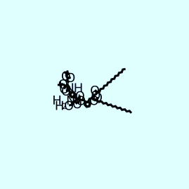 CCCCCCCCCCCCCCCC(=O)OCC(Cc1ccccc1COC(=O)N(C(=O)[C@@H](N)CO)c1ccc(C(=O)N[C@@H](CCC(=O)OC(C)(C)C)C(=O)OC(C)(C)C)cc1)OC(=O)CCCCCCCCCCCCCCC